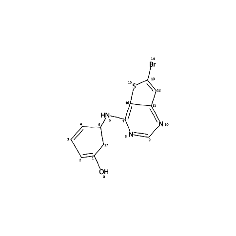 OC1=CC=CC(Nc2ncnc3cc(Br)sc23)C1